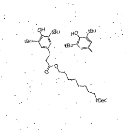 CCCCCCCCCCCCCCCCCCOC(=O)CCc1cc(C(C)(C)C)c(O)c(C(C)(C)C)c1.Cc1cc(C(C)(C)C)c(O)c(C(C)(C)C)c1